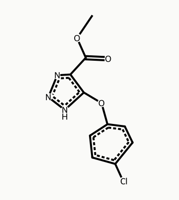 COC(=O)c1nn[nH]c1Oc1ccc(Cl)cc1